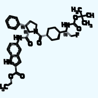 CCOC(=O)c1cc2cc(NC(=O)[C@@H]3[C@H](c4ccccc4)CCN3C(=O)[C@H]3CC[C@H]([C@@H](CF)NC(=O)OC(C)(C)C)CC3)ccc2[nH]1